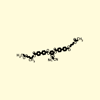 C=CC(=O)OCCCCOC(=O)C1CCC(C2CCC(C(=O)Oc3ccc(OC(=O)C4CCC(C5CCC(C(=O)OCCC(C)CCOC(=O)C=C)CC5)CC4)c4c3SC(=C(C#N)C#N)S4)CC2)CC1